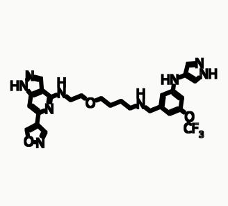 FC(F)(F)Oc1cc(CNCCCCOCCNc2nc(-c3cnoc3)cc3[nH]ncc23)cc(Nc2cn[nH]c2)c1